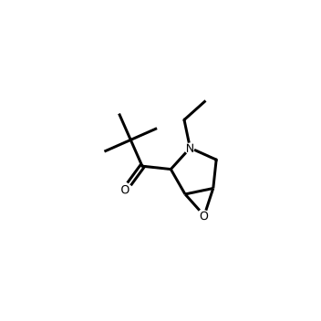 CCN1CC2OC2C1C(=O)C(C)(C)C